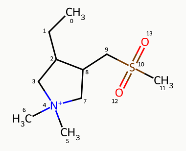 CCC1C[N+](C)(C)CC1CS(C)(=O)=O